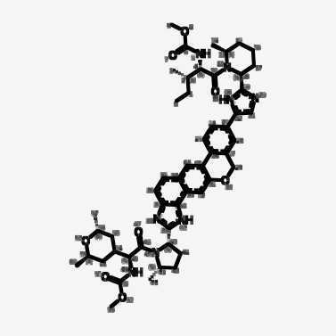 CC[C@H](C)[C@H](NC(=O)OC)C(=O)N1[C@@H](C)CCC[C@H]1c1ncc(-c2ccc3c(c2)COc2cc4c(ccc5nc([C@@H]6CC[C@H](C)N6C(=O)[C@@H](NC(=O)OC)C6C[C@@H](C)O[C@H](C)C6)[nH]c54)cc2-3)[nH]1